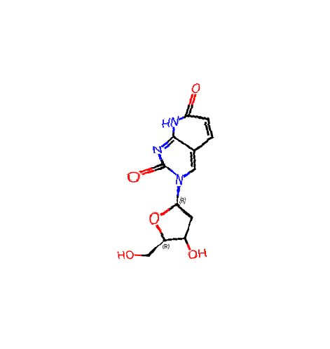 O=c1ccc2cn([C@H]3CC(O)[C@@H](CO)O3)c(=O)nc2[nH]1